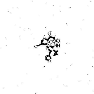 CO[C@H](c1ncc(Cl)cn1)[C@H](C)S(=O)(=O)Nc1nnc(C2CCOC2)n1C1(C)CC1